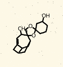 CC1C=C2CC3CC(CC23)C12COC1(CCCC(O)C1)O2